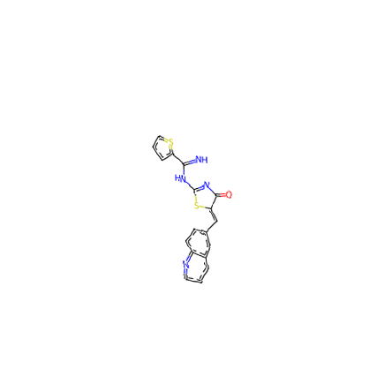 N=C(NC1=NC(=O)/C(=C/c2ccc3ncccc3c2)S1)c1cccs1